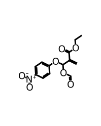 C=C(C(=O)OCC)C(OC=O)Oc1ccc([N+](=O)[O-])cc1